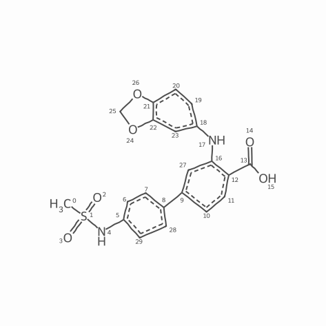 CS(=O)(=O)Nc1ccc(-c2ccc(C(=O)O)c(Nc3ccc4c(c3)OCO4)c2)cc1